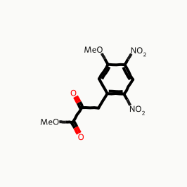 COC(=O)C(=O)Cc1cc(OC)c([N+](=O)[O-])cc1[N+](=O)[O-]